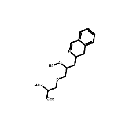 CCCCCCCCCCC(CCCCCC)COCC(CC1Cc2ccccc2C=N1)OS